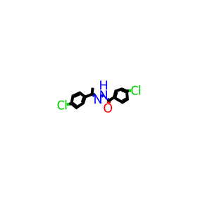 C/C(=N\NC(=O)c1ccc(Cl)cc1)c1ccc(Cl)cc1